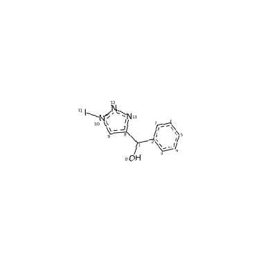 OC(c1ccccc1)c1cn(I)nn1